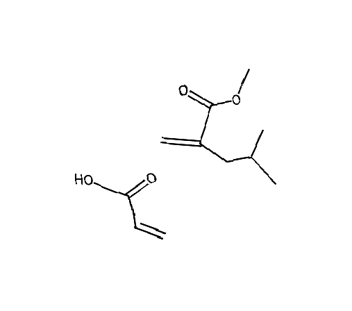 C=C(CC(C)C)C(=O)OC.C=CC(=O)O